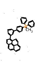 C=P(c1ccccc1)(c1ccccc1)c1ccc(-c2cccc(-c3ccc4ccc5cccc6ccc3c4c56)c2)cc1